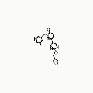 Cc1cncc(Cn2nc(-c3cnc(OCC4COC4)nc3)ccc2=O)c1